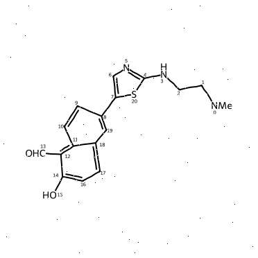 CNCCNc1ncc(-c2ccc3c(C=O)c(O)ccc3c2)s1